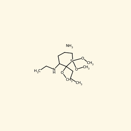 CCCC1(OC)C(NCC)CCC[Si]1(OC)OC.N